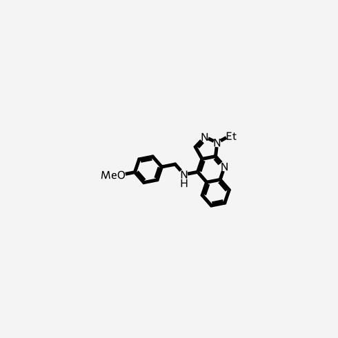 CCn1ncc2c(NCc3ccc(OC)cc3)c3ccccc3nc21